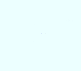 CC(C)(C)C(=O)CC(C)(C)C(C)(C)CC=O